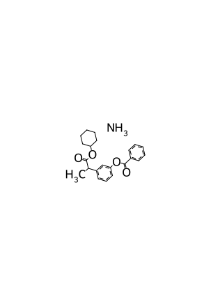 CC(C(=O)OC1CCCCC1)c1cccc(OC(=O)c2ccccc2)c1.N